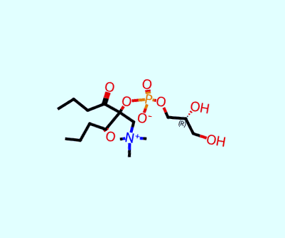 CCCC(=O)C(C[N+](C)(C)C)(OP(=O)([O-])OC[C@H](O)CO)C(=O)CCC